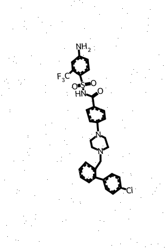 Nc1ccc(S(=O)(=O)NC(=O)c2ccc(N3CCN(Cc4ccccc4-c4ccc(Cl)cc4)CC3)cc2)c(C(F)(F)F)c1